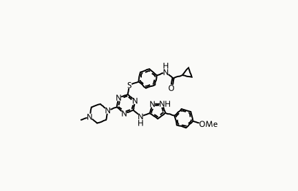 COc1ccc(-c2cc(Nc3nc(Sc4ccc(NC(=O)C5CC5)cc4)nc(N4CCN(C)CC4)n3)n[nH]2)cc1